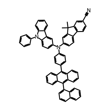 CC1(C)c2cc(C#N)ccc2-c2ccc(N(c3ccc(-c4c5ccccc5c(-c5cccc6ccccc56)c5ccccc45)cc3)c3ccc4c(c3)c3ccccc3n4-c3ccccc3)cc21